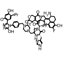 CC[C@@]1(OC(=O)[C@H](NC(=O)[C@H](Cc2c[nH]cn2)NC(=O)CN2CCN(Cc3ccc(-n4c(O)nnc4-c4cc(C(C)C)c(O)cc4O)cc3)CC2)C(C)C)C(=O)OCc2c1cc1n(c2=O)Cc2c-1nc1cc(F)c(C)c3c1c2[C@@H](N)CC3